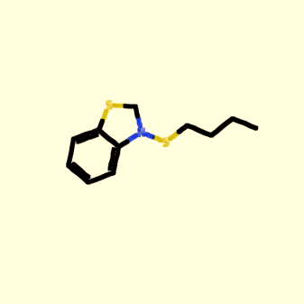 CCCCSN1CSc2ccccc21